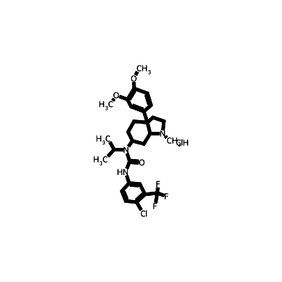 COc1ccc(C23CCC(N(C(=O)Nc4ccc(Cl)c(C(F)(F)F)c4)C(C)C)CC2N(C)CC3)cc1OC.Cl